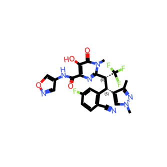 Cc1nn(C)cc1[C@H](c1cc(F)ccc1C#N)[C@H](c1nc(C(=O)Nc2cnoc2)c(O)c(=O)n1C)C(F)(F)F